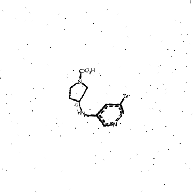 O=C(O)N1CC[C@H](Nc2cncc(Br)c2)C1